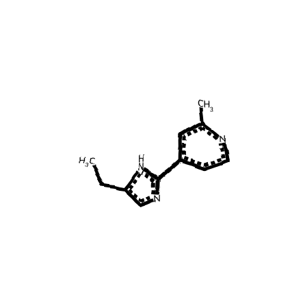 CCc1cnc(-c2ccnc(C)c2)[nH]1